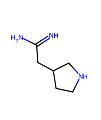 N=C(N)CC1CCNC1